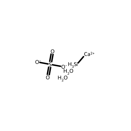 O.O.O=S(=O)([O-])[O-].[SiH3][Ca+2]